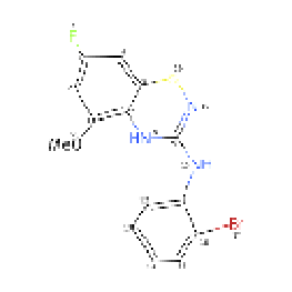 COc1cc(F)cc2c1NC(Nc1ccccc1Br)=NS2